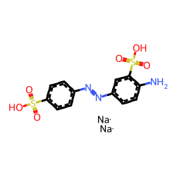 Nc1ccc(N=Nc2ccc(S(=O)(=O)O)cc2)cc1S(=O)(=O)O.[Na].[Na]